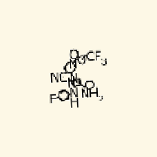 N#C[C@@H]1CCN(C(=O)OCC(F)(F)F)CC1n1cc(C(N)=O)c(Nc2ccc(F)cc2)n1